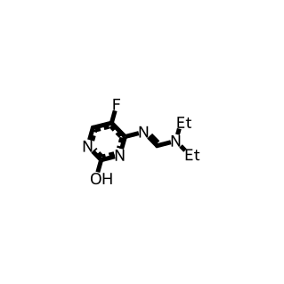 CCN(/C=N/c1nc(O)ncc1F)CC